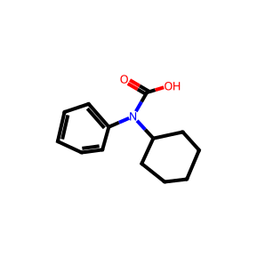 O=C(O)N(c1ccccc1)C1CCCCC1